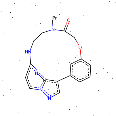 CC(C)N1CCNc2ccn3ncc(c3n2)-c2cccc(c2)OCC1=O